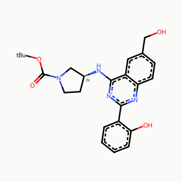 CC(C)(C)OC(=O)N1CC[C@H](Nc2nc(-c3ccccc3O)nc3ccc(CO)cc23)C1